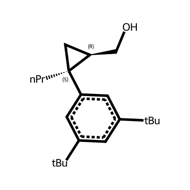 CCC[C@]1(c2cc(C(C)(C)C)cc(C(C)(C)C)c2)C[C@H]1CO